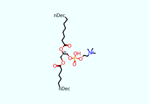 CCCCCCCCCCCCCCCCC(=O)O[C@H](COC(=O)CCCCCCCCCCCCCC)COP(=O)(O)OCC[N+](C)(C)C